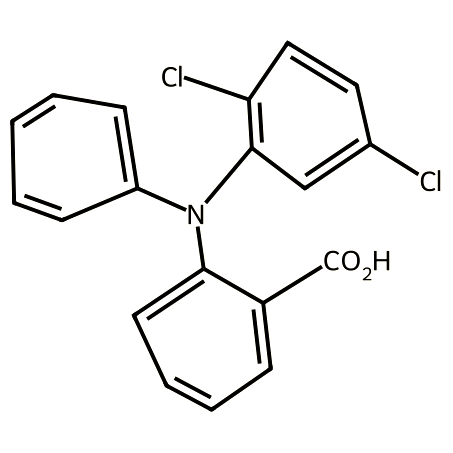 O=C(O)c1ccccc1N(c1ccccc1)c1cc(Cl)ccc1Cl